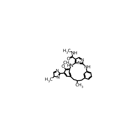 CNC(=O)c1cnc2nc1Nc1cc(cc(C3=NC(C)C=N3)c1OC)CC(C)Cc1cccc(c1)N2